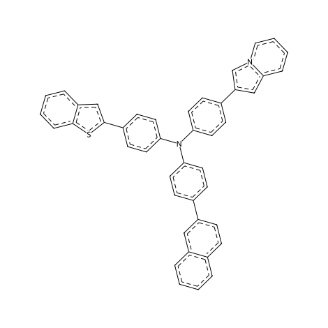 c1ccc2cc(-c3ccc(N(c4ccc(-c5cc6ccccn6c5)cc4)c4ccc(-c5cc6ccccc6s5)cc4)cc3)ccc2c1